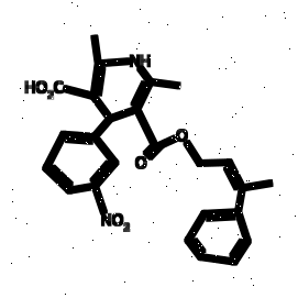 CC(=CCOC(=O)C1=C(C)NC(C)=C(C(=O)O)C1c1cccc([N+](=O)[O-])c1)c1ccccc1